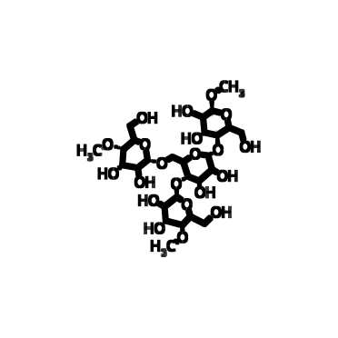 CO[C@H]1OC(CO)[C@@H](O[C@H]2OC(CO[C@H]3OC(CO)[C@@H](OC)[C@H](O)C3O)[C@@H](O[C@H]3OC(CO)[C@@H](OC)[C@H](O)C3O)[C@H](O)C2O)[C@H](O)C1O